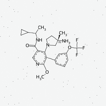 COc1ncc(C(=O)NC(C)C2CC2)c(N2CC[C@](C)(N)C2)c1-c1cccc(OC(F)(F)F)c1